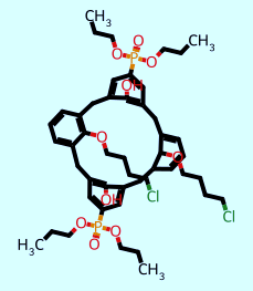 CCCOP(=O)(OCCC)c1cc2c(O)c(c1)Cc1cccc(c1OCCCCCl)Cc1cc(P(=O)(OCCC)OCCC)cc(c1O)CC1C=CC=C(C2)C1OCCCCCl